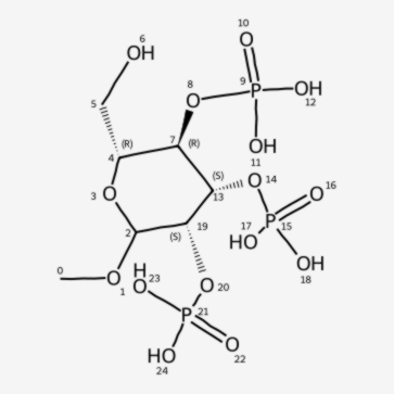 COC1O[C@H](CO)[C@@H](OP(=O)(O)O)[C@H](OP(=O)(O)O)[C@@H]1OP(=O)(O)O